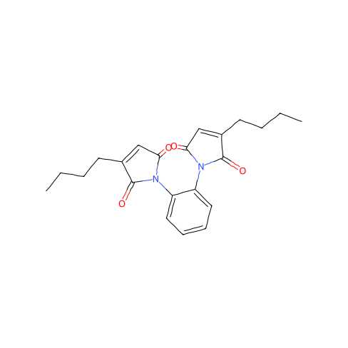 CCCCC1=CC(=O)N(c2ccccc2N2C(=O)C=C(CCCC)C2=O)C1=O